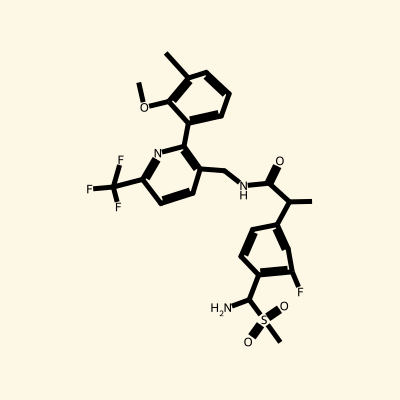 COc1c(C)cccc1-c1nc(C(F)(F)F)ccc1CNC(=O)C(C)c1ccc(C(N)S(C)(=O)=O)c(F)c1